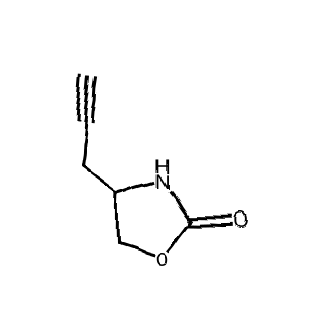 C#CCC1COC(=O)N1